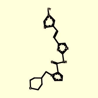 CC(C)n1cnc(C=Cc2csc(NC(=O)c3cccn3CC3CCOCC3)n2)c1